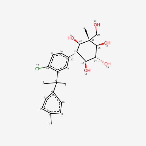 Cc1ccc(C(C)(C)c2cc([C@H]3[C@H](O)[C@@H](O)[C@H](O)[C@@](C)(CO)[C@@H]3O)ccc2Cl)cc1